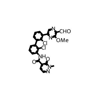 COc1nc(-c2cccc(-c3cccc(NC(=O)c4ccnn(C)c4=O)c3Cl)c2Cl)cnc1C=O